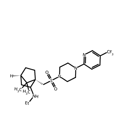 CCNC1C[C@H]2CC[C@]1(CS(=O)(=O)N1CCN(c3ccc(C(F)(F)F)cn3)CC1)C2(C)C